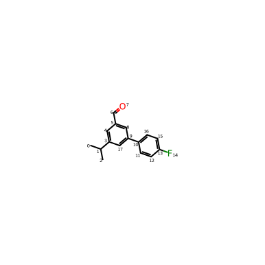 CC(C)c1cc(C=O)cc(-c2ccc(F)cc2)c1